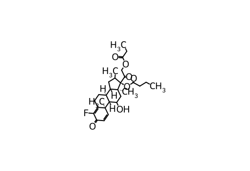 CCCC(=O)O[C@]1(C(=O)COC(=O)CC)C(C)C[C@H]2[C@@H]3CCC4=C(F)C(=O)C=C[C@]4(C)[C@H]3C(O)C[C@@]21C